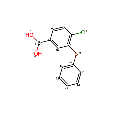 OB(O)c1ccc(Cl)c(Sc2ccccc2)c1